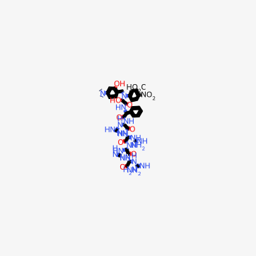 CN(C)c1ccc(CN(c2ccc([N+](=O)[O-])cc2C(=O)O)C(O)C(=O)NC(C(=O)NC(NC(=N)N)C(=O)NC(NC(=N)N)C(=O)NC(NC(=N)N)C(=O)NC(NC(=N)N)C(N)=O)c2ccccc2)c(O)c1